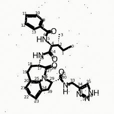 CC[C@@H](C)[C@H](NC(=O)c1ccccc1)C(=O)N[C@H]1CCc2cccc3c2N(C1=O)[C@H](C(=O)NCc1c[nH]nn1)C3